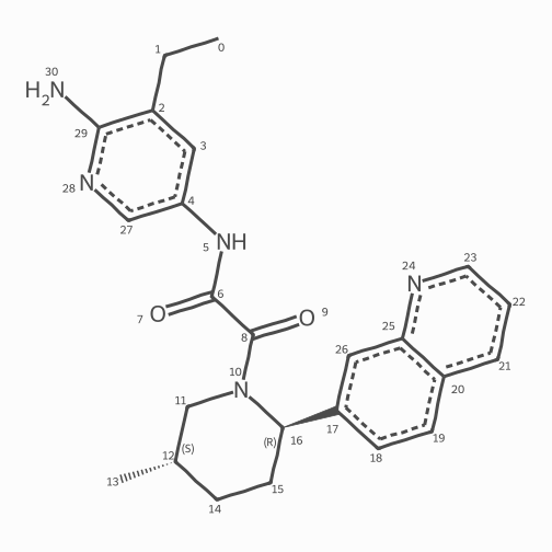 CCc1cc(NC(=O)C(=O)N2C[C@@H](C)CC[C@@H]2c2ccc3cccnc3c2)cnc1N